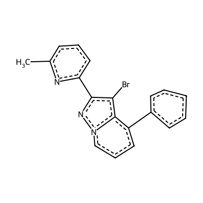 Cc1cccc(-c2nn3cccc(-c4ccccc4)c3c2Br)n1